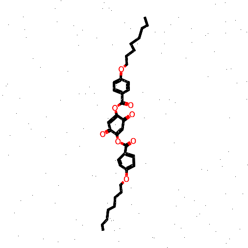 CCCCCCCCOc1ccc(C(=O)OC2=CC(=O)C(OC(=O)c3ccc(OCCCCCCCC)cc3)=CC2=O)cc1